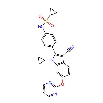 N#Cc1c(-c2ccc(NS(=O)(=O)C3CC3)cc2)n(C2CC2)c2cc(Oc3ncccn3)ccc12